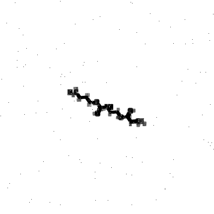 C=CC(=O)OCCNC(=O)OCCCC